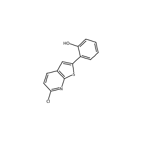 Oc1ccccc1-c1cc2ccc(Cl)nc2s1